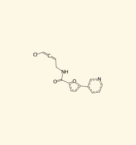 O=C(NCC=C=CCl)c1ccc(-c2cccnc2)o1